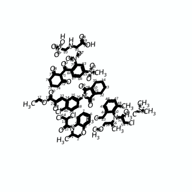 CC1COc2ccccc2N1C(=O)C(Cl)Cl.CCOC(=O)/C(Cl)=C/c1cc(N2C(=O)C3=C(CCCC3)C2=O)ccc1Cl.CCc1cccc(C)c1N(C(=O)CCl)C(C)COC.CS(=O)(=O)c1ccc(C(=O)C2C(=O)CCCC2=O)c([N+](=O)[O-])c1.C[S+](C)C.O=C(O)CNCP(=O)([O-])O